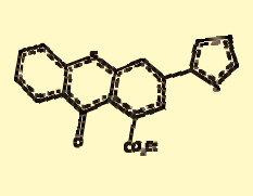 CCOC(=O)c1cc(-c2cccs2)cc2sc3ccccc3c(=O)c12